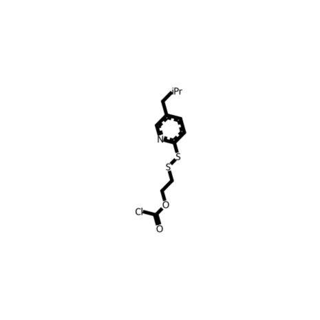 CC(C)Cc1ccc(SSCCOC(=O)Cl)nc1